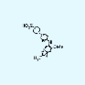 COc1cc2nc(C)cn2cc1Nc1ccc(N2CCN(C(=O)O)CC2)nn1